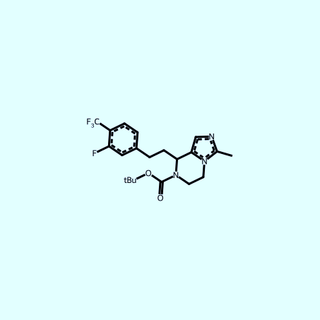 Cc1ncc2n1CCN(C(=O)OC(C)(C)C)C2CCc1ccc(C(F)(F)F)c(F)c1